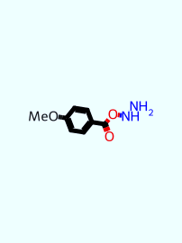 COc1ccc(C(=O)ONN)cc1